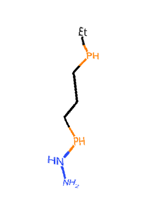 CCPCCCPNN